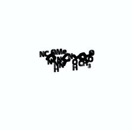 COc1cc(Nc2ncc3c(n2)CCN(CC(O)c2ccc4c(c2C)COC4=O)C3)ncc1C#N